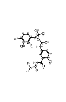 O=C(NC(F)C(F)F)c1cc(NC(=O)C2C(c3ccc(F)c(Cl)c3F)C2(Cl)Cl)ccc1Cl